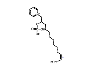 CCCCCCCC/C=C\CCCCCCCCC(C[n+]1ccccc1)OP(=O)(O)O